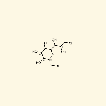 OC[C@H](O)C(O)C1O[C@H](CO)[C@H](O)[C@H](O)[C@H]1O